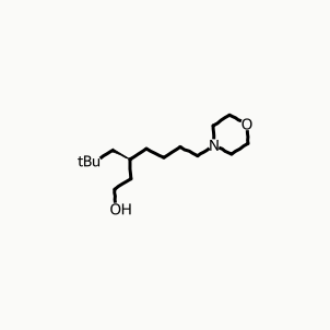 CC(C)(C)C[C@H](CCO)CCCCN1CCOCC1